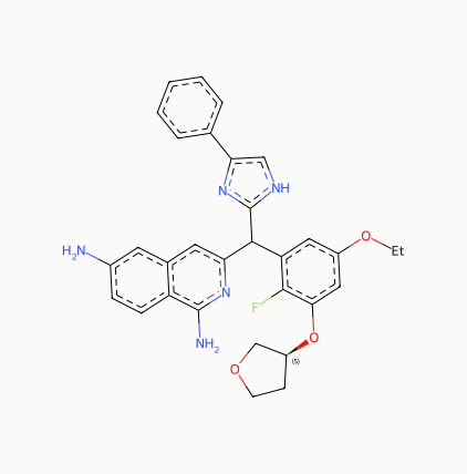 CCOc1cc(O[C@H]2CCOC2)c(F)c(C(c2cc3cc(N)ccc3c(N)n2)c2nc(-c3ccccc3)c[nH]2)c1